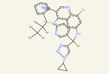 [2H]C(Nc1cc(Cl)c2ncc(C#N)c(N[C@@H](c3ccccc3)C([2H])([2H])C([2H])([2H])[2H])c2c1)(c1ccc(F)nc1)c1cn(C2CC2)nn1